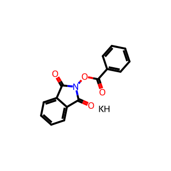 O=C(ON1C(=O)c2ccccc2C1=O)c1ccccc1.[KH]